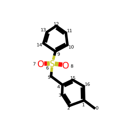 Cc1ccc(CS(=O)(=O)c2ccccc2)cc1